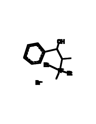 CC[N+](C)(CC)C(C)C(O)c1ccccc1.[Br-]